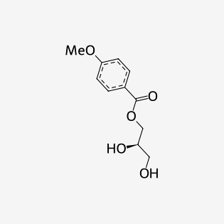 COc1ccc(C(=O)OC[C@H](O)CO)cc1